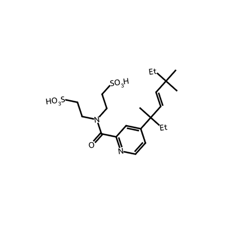 CCC(C)(C)/C=C/C(C)(CC)c1ccnc(C(=O)N(CCS(=O)(=O)O)CCS(=O)(=O)O)c1